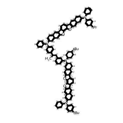 CC(C)c1ccc(N(c2cc#ccc2)c2ccc3cc4c(cc3c2)oc2c4ccc3c4cc5ccc(N(c6ccccc6)c6ccc(C(C)Cc7cccc(N(C8=Cc9cc%10oc%11c(ccc%12c%13cc%14ccc(N(c%15ccccc%15)c%15ccc(C(C)(C)C)cc%15)cc%14cc%13oc%12%11)c%10cc9CC8)C8CCC(C(C)(C)C)CC8)c7)cc6)cc5cc4oc32)cc1